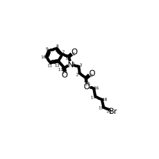 O=C(CCN1C(=O)c2ccccc2C1=O)OCCCCBr